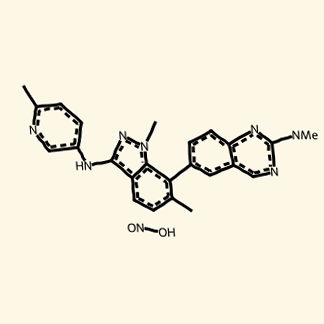 CNc1ncc2cc(-c3c(C)ccc4c(Nc5ccc(C)nc5)nn(C)c34)ccc2n1.O=NO